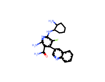 NC(=O)c1c(N)nc(NC2CCCCC2N)c(F)c1-c1cnc2ccccc2c1